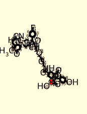 C[C@@H]1CN(c2cc(=O)n(C)c3ccc(C#N)nc23)[C@@H](C)CN1C(C(=O)NCCOCCOCCNC(=O)c1ccc2c(c1)C(=O)OC21c2ccc(O)cc2Oc2cc(O)ccc21)c1ccc(F)cc1